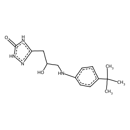 CC(C)(C)c1ccc(NCC(O)Cc2n[nH]c(=O)[nH]2)cc1